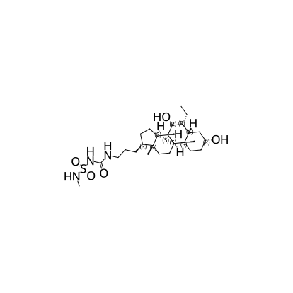 CC[C@H]1[C@@H](O)[C@@H]2[C@H](CC[C@]3(C)[C@@H](CCCNC(=O)NS(=O)(=O)NC)CC[C@@H]23)[C@@]2(C)CC[C@@H](O)C[C@@H]12